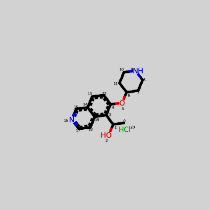 CC(O)c1c(OC2CCNCC2)ccc2cnccc12.Cl